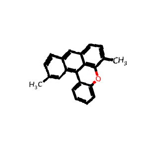 Cc1ccc2cc3ccc(C)c4c3c(c2c1)-c1ccccc1O4